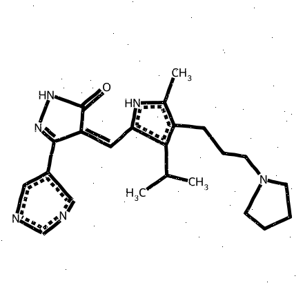 Cc1[nH]c(C=C2C(=O)NN=C2c2cncnc2)c(C(C)C)c1CCCN1CCCC1